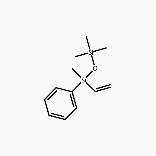 C=C[Si](C)(O[Si](C)(C)C)c1ccccc1